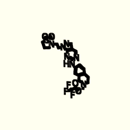 CN1CCc2ccc(Nc3ncc4cnn(CCN5CCCS5(=O)=O)c4n3)cc2C1OC(=O)C(F)(F)F